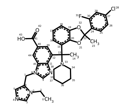 CCn1cncc1Cn1cnc2c(C(C)(c3cccc4c3OC(C)(c3ccc(Cl)cc3F)O4)N3CCCCC3)cc(C(=O)O)cc21